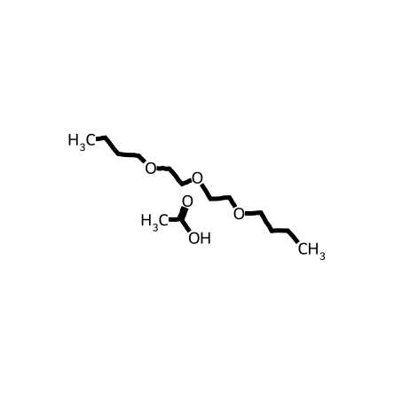 CC(=O)O.CCCCOCCOCCOCCCC